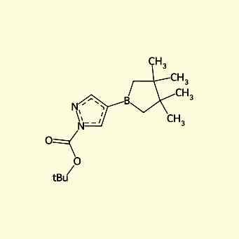 CC(C)(C)OC(=O)n1cc(B2CC(C)(C)C(C)(C)C2)cn1